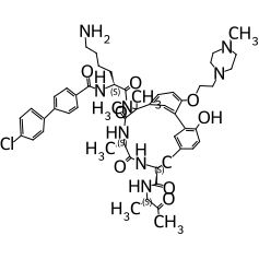 CC(=O)[C@H](C)NC(=O)[C@@H]1Cc2ccc(O)c(c2)-c2cc(ccc2OCCN2CCN(C)CC2)C(C)(N(C)C(=O)[C@H](CCCCN)NC(=O)c2ccc(-c3ccc(Cl)cc3)cc2)C(=O)N[C@@H](C)C(=O)N1